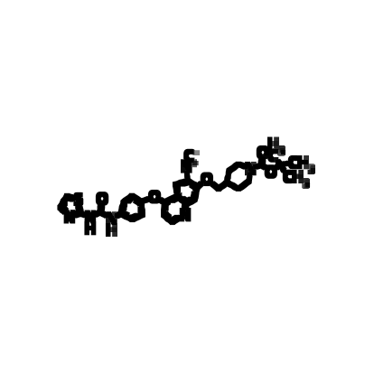 [C-]#[N+]c1cc2c(Oc3ccc(NC(=O)Nc4nccs4)cc3)ccnc2cc1OCC1CCN(C(=O)OC(C)(C)C)CC1